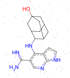 N=C(N)c1cnc2[nH]ccc2c1NC1C2CC3CC1CC(O)(C3)C2